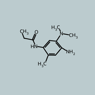 CCC(=O)Nc1cc(N(C)C)c(N)cc1C